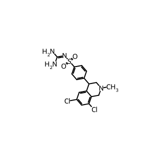 CN1Cc2c(Cl)cc(Cl)cc2C(c2ccc(S(=O)(=O)N=C(N)N)cc2)C1